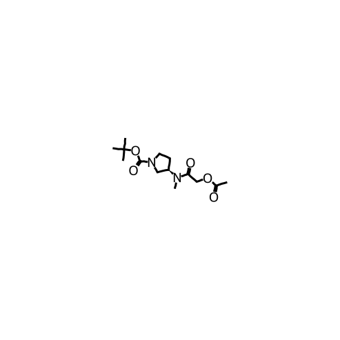 CC(=O)OCC(=O)N(C)[C@@H]1CCN(C(=O)OC(C)(C)C)C1